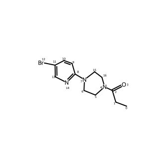 CCC(=O)N1CCN(c2ccc(Br)cn2)CC1